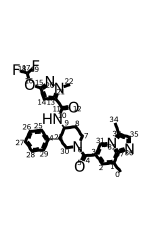 Cc1cc(C(=O)N2CC[C@@H](NC(=O)c3cc(OC(F)F)nn3C)[C@@H](c3ccccc3)C2)cn2c(C)cnc12